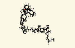 CNCCCN(C)C(=O)c1ccc(NCCCCCC(=O)N(C)CCN2CCC(N(C(=O)O)c3ccccc3-c3ccccc3)CC2)c(F)c1